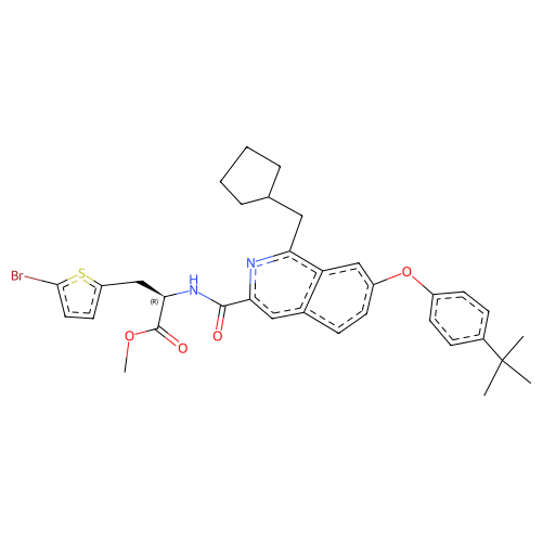 COC(=O)[C@@H](Cc1ccc(Br)s1)NC(=O)c1cc2ccc(Oc3ccc(C(C)(C)C)cc3)cc2c(CC2CCCC2)n1